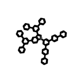 c1ccc(-c2ccc(-c3cc(-c4ccc(-c5ccccc5)cc4)cc(-n4cc(-c5cc(-c6ccccc6)cc(-c6ccccc6)c5)c5cc(-c6cc(-c7ccccc7)cc(-c7ccccc7)c6)ccc54)c3)cc2)cc1